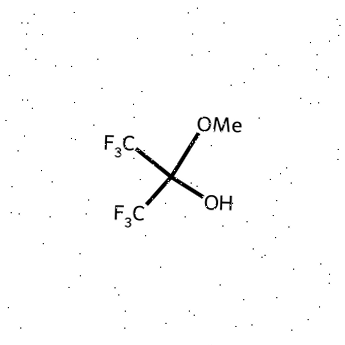 COC(O)(C(F)(F)F)C(F)(F)F